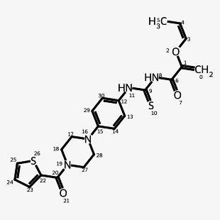 C=C(O/C=C\C)C(=O)NC(=S)Nc1ccc(N2CCN(C(=O)c3cccs3)CC2)cc1